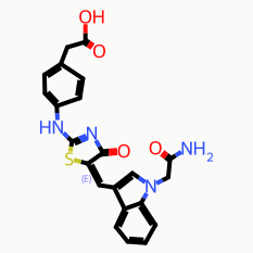 NC(=O)Cn1cc(/C=C2/SC(Nc3ccc(CC(=O)O)cc3)=NC2=O)c2ccccc21